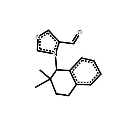 CC1(C)CCc2ccccc2C1n1cncc1C=O